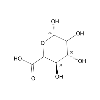 O=C(O)C1O[C@H](O)C(O)[C@H](O)[C@H]1O